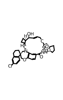 O=C1NS(=O)(=O)[C@H](C[C@@H]2CCCO2)CC/C=C/[C@H](O)[C@@H]2CC[C@H]2CN2C[C@@]3(CCCc4cc(Cl)ccc43)COc3ccc1cc32